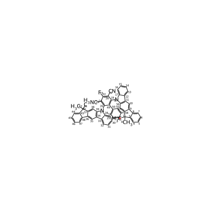 CC1(C)c2ccccc2-c2cc3c4ccccc4n(-c4c(C#N)c(F)c(C#N)c(-n5c6ccccc6c6cc7c(cc65)C(C)(C)c5ccccc5-7)c4-c4ccccc4)c3cc21